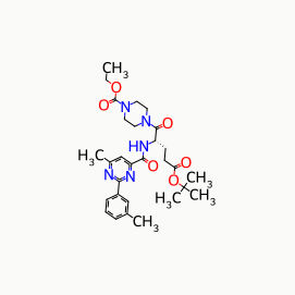 CCOC(=O)N1CCN(C(=O)[C@H](CCC(=O)OC(C)(C)C)NC(=O)c2cc(C)nc(-c3cccc(C)c3)n2)CC1